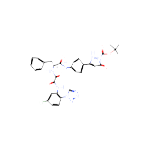 CC(C)(C)OC(=O)n1[nH]c(-c2ccc(NC(=O)[C@H](Cc3ccccc3)NC(=O)C(=O)Nc3cc(Cl)ccc3-n3cnnn3)cc2)cc1=O